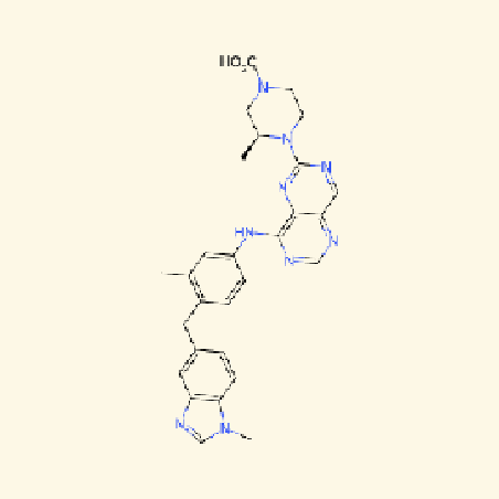 Cc1cc(Nc2ncnc3cnc(N4CCN(C(=O)O)C[C@@H]4C)nc23)ccc1Cc1ccc2c(c1)ncn2C